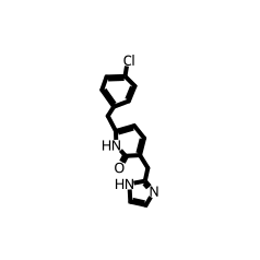 O=c1[nH]c(Cc2ccc(Cl)cc2)ccc1Cc1ncc[nH]1